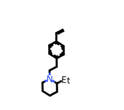 C=Cc1ccc(CCN2CCCCC2CC)cc1